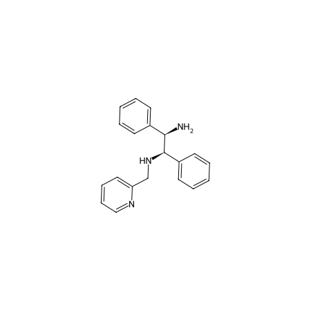 N[C@H](c1ccccc1)[C@H](NCc1ccccn1)c1ccccc1